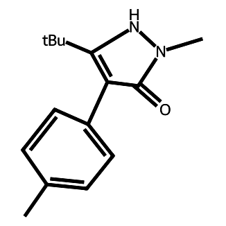 Cc1ccc(-c2c(C(C)(C)C)[nH]n(C)c2=O)cc1